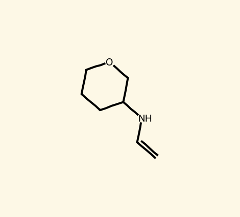 C=CNC1CCCOC1